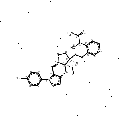 CC[C@]12Cc3cnn(-c4ccc(F)cc4)c3C=C1CC[C@@]2(O)CCc1ccccc1C(O)C(N)=O